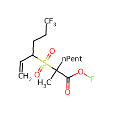 C=CC(CCC(F)(F)F)S(=O)(=O)C(C)(CCCCC)C(=O)OF